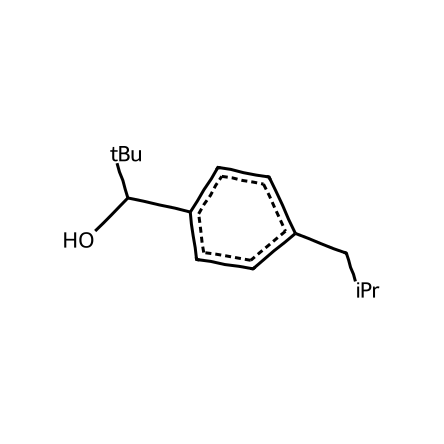 CC(C)Cc1ccc(C(O)C(C)(C)C)cc1